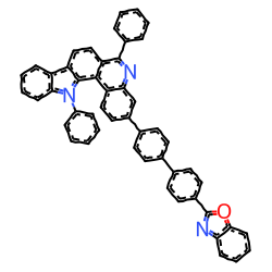 c1ccc(-c2nc3cc(-c4ccc(-c5ccc(-c6nc7ccccc7o6)cc5)cc4)ccc3c3c2ccc2c4ccccc4n(-c4ccccc4)c23)cc1